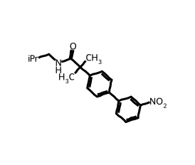 CC(C)CNC(=O)C(C)(C)c1ccc(-c2cccc([N+](=O)[O-])c2)cc1